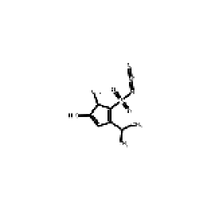 CC1=CC(C(C)C)=C(S(=O)(=O)N=[N+]=[N-])C1C